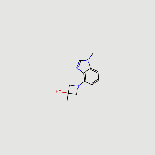 Cn1cnc2c(N3CC(C)(O)C3)cccc21